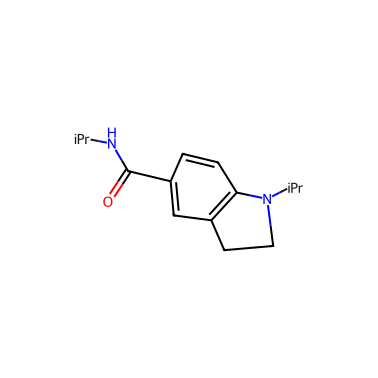 CC(C)NC(=O)c1ccc2c(c1)CCN2C(C)C